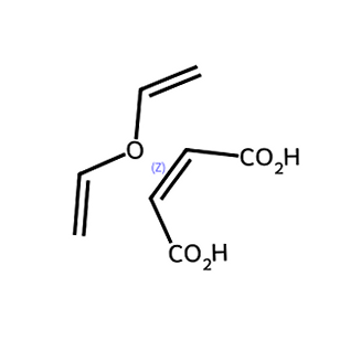 C=COC=C.O=C(O)/C=C\C(=O)O